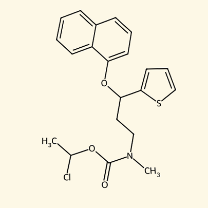 CC(Cl)OC(=O)N(C)CCC(Oc1cccc2ccccc12)c1cccs1